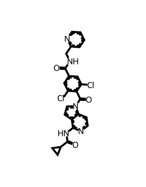 O=C(NCc1ccccn1)c1cc(Cl)c(C(=O)n2ccc3c(NC(=O)C4CC4)nccc32)c(Cl)c1